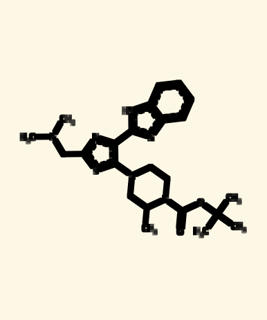 CC1CN(c2sc(CN(C)C)nc2-c2nc3ccccc3[nH]2)CCN1C(=O)OC(C)(C)C